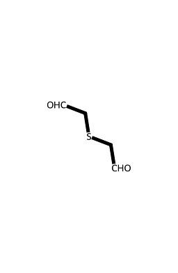 O=CCSCC=O